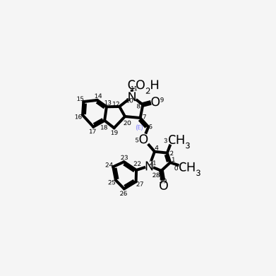 CC1=C(C)C(O/C=C2/C(=O)N(C(=O)O)C3c4ccccc4CC23)N(c2ccccc2)C1=O